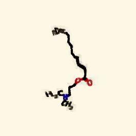 CCCCCCCCCCCCCCCCCC(=O)OCCCN(C)C